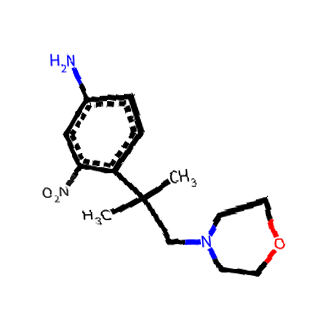 CC(C)(CN1CCOCC1)c1ccc(N)cc1[N+](=O)[O-]